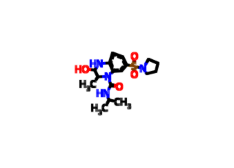 CC(C)NC(=O)N1c2cc(S(=O)(=O)N3CCCC3)ccc2NC(O)C1C